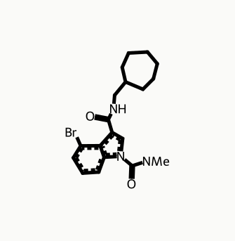 CNC(=O)n1cc(C(=O)NCC2CCCCCC2)c2c(Br)cccc21